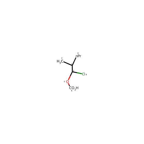 CCCC(C)C(Cl)OC(=O)O